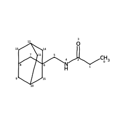 CCC(=O)NCC12CC3CC(CC(C3)C1)C2